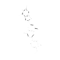 CCN1CCN(C2=CN3C(=O)C=C(c4cc5c(C)nc(C)cn5n4)PC3C(C)=C2)C[C@H]1C